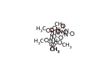 Cc1ccc2c(c1)c1cc(C)ccc1n2-c1nc(-n2c3ccc(C)cc3c3cc(C)ccc32)c(-n2c3ccc(C)cc3c3cc(C)ccc32)c(-c2cccc(-c3nc(-c4ccccc4)nc(-c4ccccc4)n3)c2-c2nc(-c3ccccc3)nc(-c3ccccc3)n2)c1-c1ccccc1